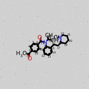 CC(=O)c1ccc(C(=O)N(c2ccccc2CCC2CCCCN2C)C(C)C)cc1